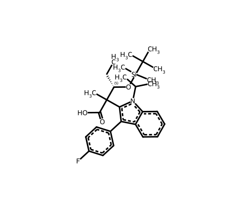 CC[C@H](O[Si](C)(C)C(C)(C)C)C(C)(C(=O)O)c1c(-c2ccc(F)cc2)c2ccccc2n1C(C)C